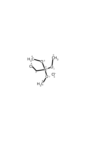 CO[N+](CCl)(OC)OC.[Cl-]